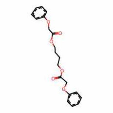 O=C(COc1ccccc1)OCCCCOC(=O)COc1ccccc1